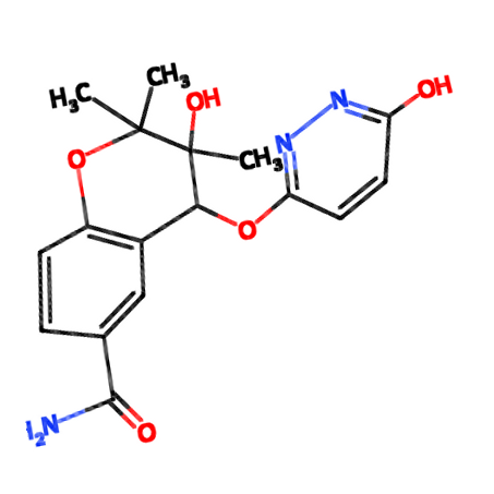 CC1(C)Oc2ccc(C(N)=O)cc2C(Oc2ccc(O)nn2)C1(C)O